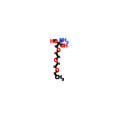 CCOCCOCCOCC(N)(O)O